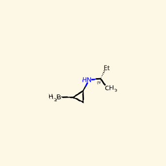 BC1CC1N[C@@H](C)CC